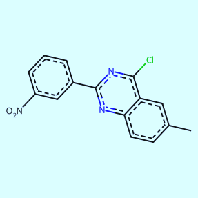 Cc1ccc2nc(-c3cccc([N+](=O)[O-])c3)nc(Cl)c2c1